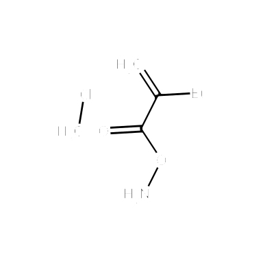 C=C(CC)C(=O)ON.CCl